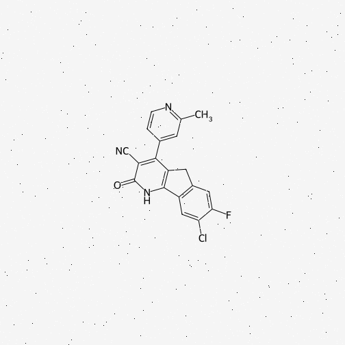 Cc1cc(-c2c3c([nH]c(=O)c2C#N)-c2cc(Cl)c(F)cc2C3)ccn1